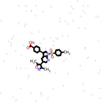 Cc1ccc(S(=O)(=O)n2cc(-c3ccc(C(=O)O)cc3)c3cc(-c4c(C)noc4C)cnc32)cc1